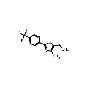 [CH2]Cc1sc(-c2ccc(C(F)(F)F)cc2)nc1C